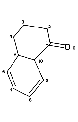 O=C1CCCC2C=[C]C=CC12